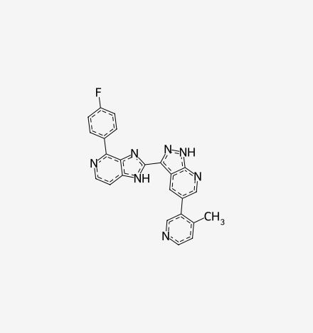 Cc1ccncc1-c1cnc2[nH]nc(-c3nc4c(-c5ccc(F)cc5)nccc4[nH]3)c2c1